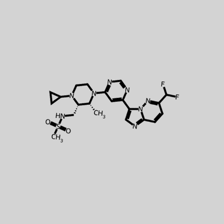 C[C@@H]1[C@H](CNS(C)(=O)=O)N(C2CC2)CCN1c1cc(-c2cnc3ccc(C(F)F)nn23)ncn1